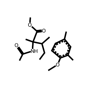 CCC(C)C(C)(NC(C)=O)C(=O)OC.COc1ccc(C)cc1C